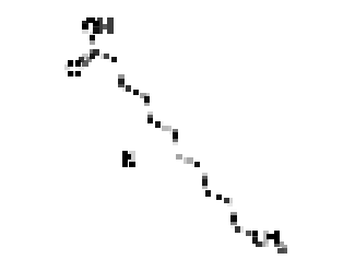 CCCCCCCCCCCC(=O)O.[N]